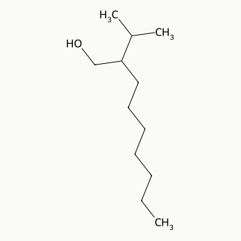 CCCCCCCC(CO)C(C)C